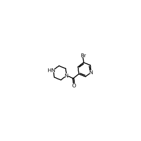 O=C(c1cncc(Br)c1)N1CCNCC1